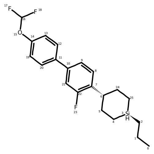 CCC[Si@H]1CC[C@H](c2ccc(-c3ccc(OC(F)F)cc3)cc2F)CC1